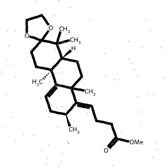 COC(=O)CCC=C1[C@@H](C)CC=C2C1(C)CC[C@H]1C(C)(C)C3(CC[C@]21C)OCCO3